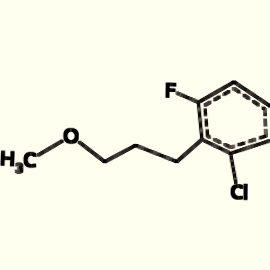 COCCCc1c(F)cccc1Cl